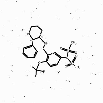 CS(=O)(=O)N(c1ccc(OC(F)(F)F)c(CN[C@@H]2CCCN[C@@H]2c2ccccc2)c1)S(C)(=O)=O